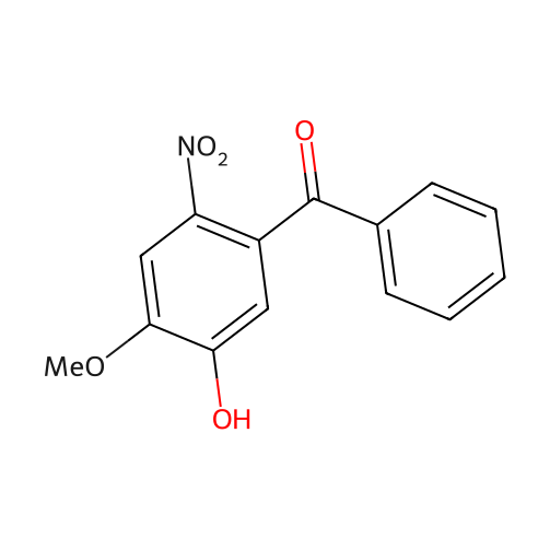 COc1cc([N+](=O)[O-])c(C(=O)c2ccccc2)cc1O